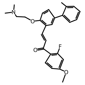 COc1ccc(C(=O)C=Cc2cc(-c3ccccc3C)ccc2OCCN(C)C)c(F)c1